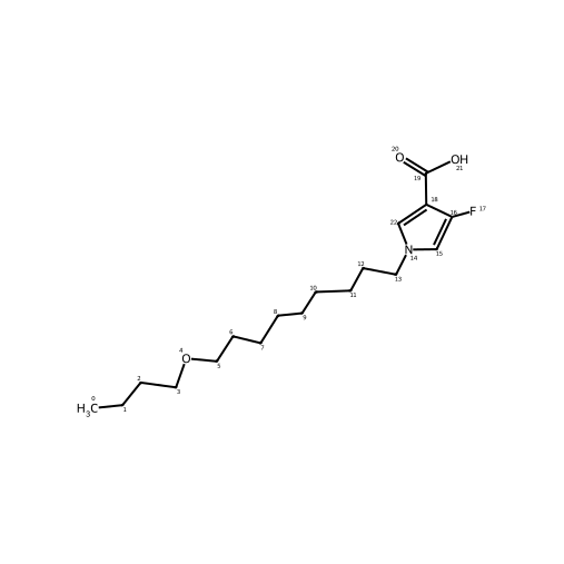 CCCCOCCCCCCCCCn1cc(F)c(C(=O)O)c1